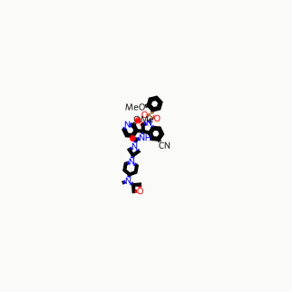 COc1ccccc1S(=O)(=O)N1C(=O)C(NC(=O)N2CC(N3CCC(N(C)C4COC4)CC3)C2)(c2cccnc2OC)c2cc(C#N)ccc21